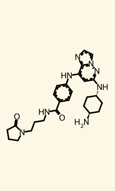 N[C@H]1CC[C@H](Nc2cc(Nc3ccc(C(=O)NCCCN4CCCC4=O)cc3)c3nccn3n2)CC1